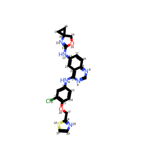 Clc1cc(Nc2ncnc3ccc(NC4=NC5(CC5)CO4)cc23)ccc1OCc1nccs1